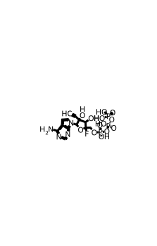 C#CC1(O)C(n2ccc3c(N)ncnc32)OC(F)(COP(=O)(O)OP(=O)(O)OP(=O)(O)O)C1O